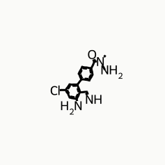 CN(N)C(=O)c1ccc(-c2cc(Cl)cc(N)c2C=N)cc1